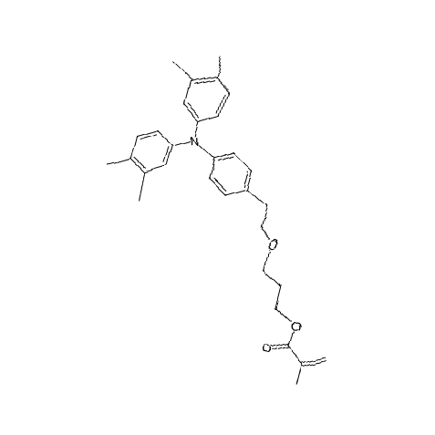 C=C(C)C(=O)OCCCOCCc1ccc(N(c2ccc(C)c(C)c2)c2ccc(C)c(C)c2)cc1